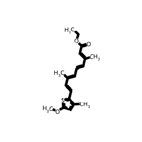 CCOC(=O)C=C(C)C=CC=C(C)C=Cc1sc(OC)cc1C